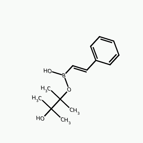 CC(C)(O)C(C)(C)OB(O)C=Cc1ccccc1